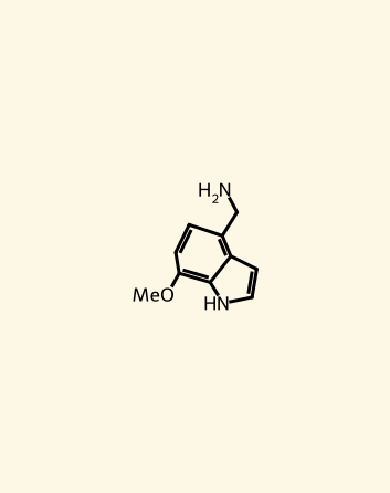 COc1ccc(CN)c2cc[nH]c12